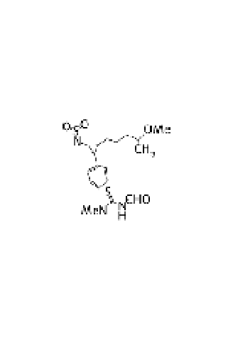 CNC(=S)NC=O.COC(C)CCCC1C(N=S(=O)=O)C1c1ccccc1